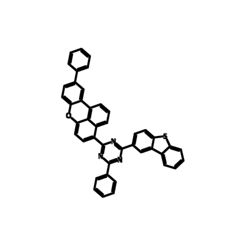 c1ccc(-c2ccc3c(c2)-c2cccc4c(-c5nc(-c6ccccc6)nc(-c6ccc7sc8ccccc8c7c6)n5)ccc(c24)O3)cc1